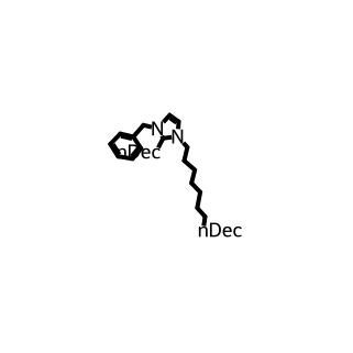 CCCCCCCCCCCCCCCCCN1C=CN(Cc2ccccc2)C1CCCCCCCCCC